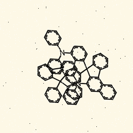 c1ccc(N(c2ccccc2)c2cccc3c2-c2ccccc2C32c3ccccc3-c3c2c(N(c2ccccc2)c2cccc4c2C(c2ccccc2)(c2ccccc2)c2ccccc2-4)cc2ccccc32)cc1